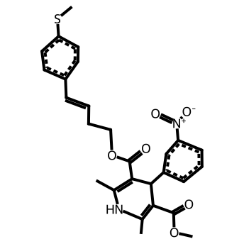 COC(=O)C1=C(C)NC(C)=C(C(=O)OCCC=Cc2ccc(SC)cc2)C1c1cccc([N+](=O)[O-])c1